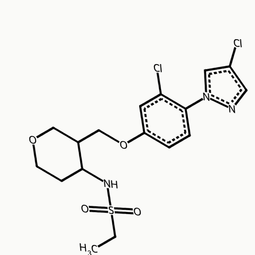 CCS(=O)(=O)NC1CCOCC1COc1ccc(-n2cc(Cl)cn2)c(Cl)c1